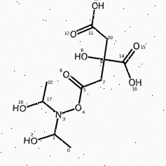 CC(O)N(OC(=O)CC(O)(CC(=O)O)C(=O)O)C(C)O